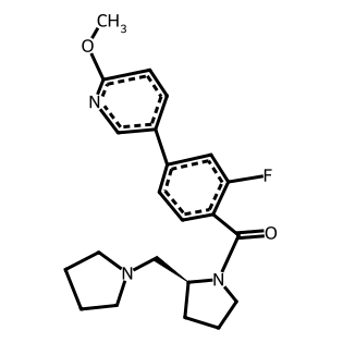 COc1ccc(-c2ccc(C(=O)N3CCC[C@H]3CN3CCCC3)c(F)c2)cn1